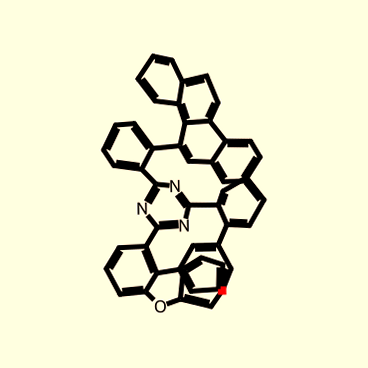 c1ccc(-c2ccccc2-c2nc(-c3ccccc3-c3cc4ccccc4c4ccc5ccccc5c34)nc(-c3cccc4oc5ccccc5c34)n2)cc1